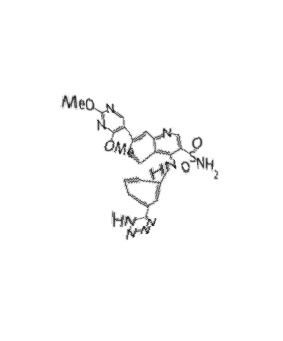 COc1ncc(-c2ccc3c(Nc4cccc(-c5nnn[nH]5)c4)c(S(N)(=O)=O)cnc3c2)c(OC)n1